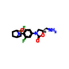 NC[C@H]1CN(c2cc(F)c(N3C4CCC3[S+]([O-])C4)c(F)c2)C(=O)O1